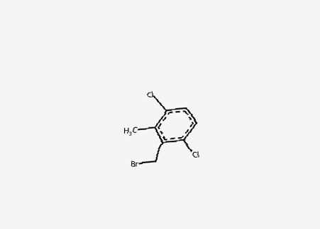 Cc1c(Cl)ccc(Cl)c1CBr